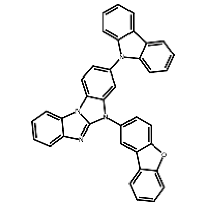 c1ccc2c(c1)nc1n(-c3ccc4oc5ccccc5c4c3)c3cc(-n4c5ccccc5c5ccccc54)ccc3n21